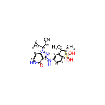 C[C@@H]1c2cc(Nc3nn(C(CC#N)C4CC4)c4cc[nH]c(=O)c34)ccc2S(O)(O)[C@H]1C